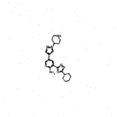 Nc1ncc(-c2cnn(C3CCNCC3)c2)cc1-c1nnc(C2CCCCC2)o1